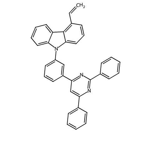 C=Cc1cccc2c1c1ccccc1n2-c1cccc(-c2cc(-c3ccccc3)nc(-c3ccccc3)n2)c1